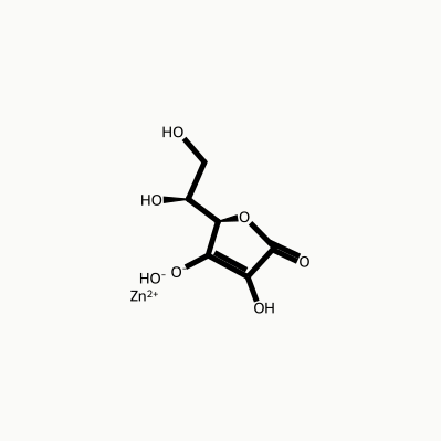 O=C1O[C@H]([C@@H](O)CO)C([O-])=C1O.[OH-].[Zn+2]